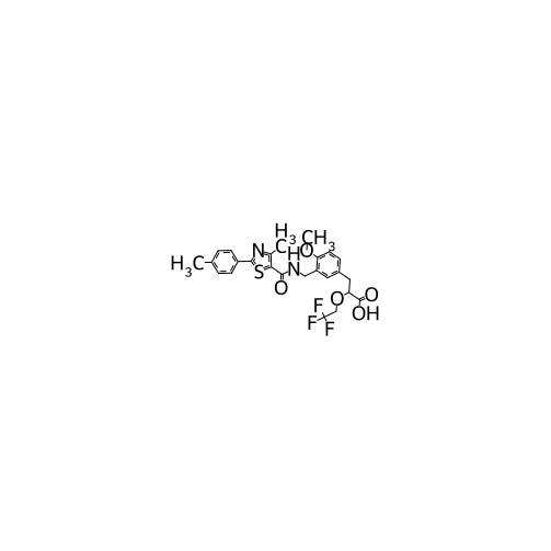 COc1ccc(CC(OCC(F)(F)F)C(=O)O)cc1CNC(=O)c1sc(-c2ccc(C)cc2)nc1C